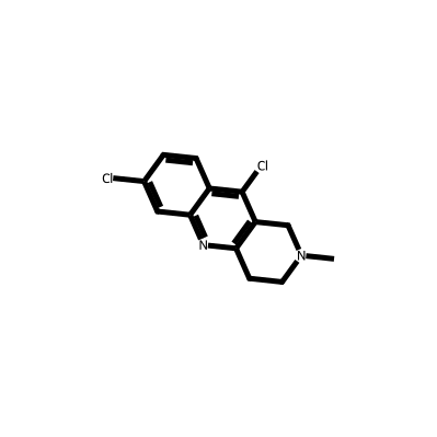 CN1CCc2nc3cc(Cl)ccc3c(Cl)c2C1